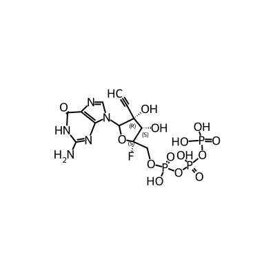 C#C[C@]1(O)C(n2cnc3c(=O)[nH]c(N)nc32)O[C@](F)(COP(=O)(O)OP(=O)(O)OP(=O)(O)O)[C@H]1O